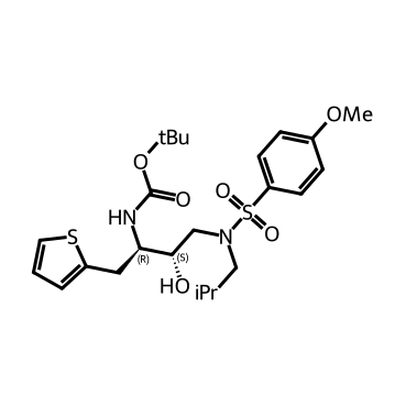 COc1ccc(S(=O)(=O)N(CC(C)C)C[C@H](O)[C@@H](Cc2cccs2)NC(=O)OC(C)(C)C)cc1